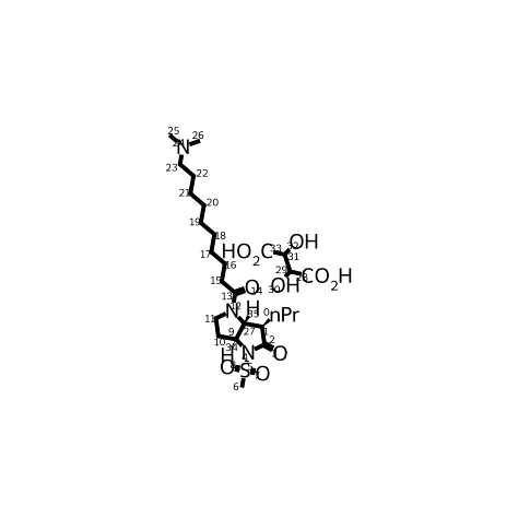 CCC[C@H]1C(=O)N(S(C)(=O)=O)[C@H]2CCN(C(=O)CCCCCCCCCN(C)C)[C@H]12.O=C(O)C(O)C(O)C(=O)O